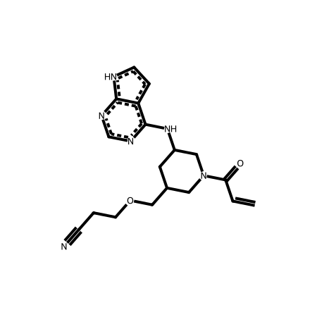 C=CC(=O)N1CC(COCCC#N)CC(Nc2ncnc3[nH]ccc23)C1